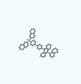 C[Si](c1ccc(-c2ccc(-c3c4ccccc4c(-c4cccc5ccccc45)c4ccccc34)cc2)cc1)(c1ccc2ccccc2c1)c1ccc2ccccc2c1